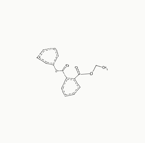 CCOC(=O)c1ccccc1C(=O)Oc1ccccc1